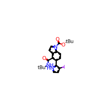 CC(C)(C)NC(=O)c1c(-c2[nH]ccc2I)ccc2c1ccn2C(=O)OC(C)(C)C